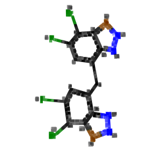 Fc1cc(Cc2cc(F)c(Br)c3snnc23)c2nnsc2c1Br